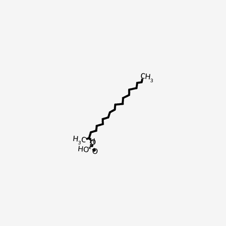 CCCCCCCCCCCCCCCCCC(C)O[PH](=O)O